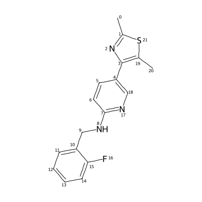 Cc1nc(-c2ccc(NCc3ccccc3F)nc2)c(C)s1